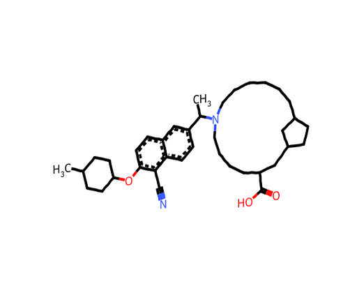 CC1CCC(Oc2ccc3cc(C(C)N4CCCCCCC5CCC(C5)CC(C(=O)O)CCCC4)ccc3c2C#N)CC1